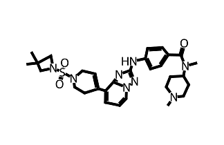 CN1CCC(N(C)C(=O)c2ccc(Nc3nc4c(C5=CCN(S(=O)(=O)N6CC(C)(C)C6)CC5)cccn4n3)cc2)CC1